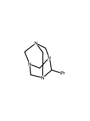 CC(C)C1N2CN3CN(C2)CN1C3